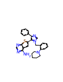 Nc1ncnc2sc(-c3c(-c4ccccc4)ncn3Cc3ccccc3N3CCCCC3)cc12